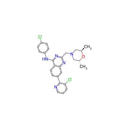 C[C@@H]1CN(Cc2nc(Nc3ccc(Cl)cc3)c3ccc(-c4ncccc4Cl)cc3n2)C[C@@H](C)O1